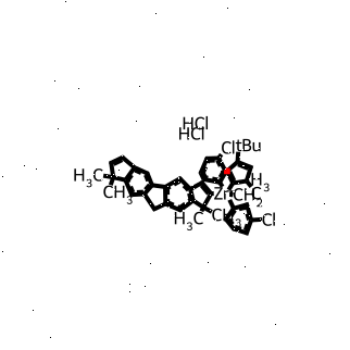 Cl.Cl.[CH2]=[Zr]([C]1=CC(C(C)(C)C)=CC1C)([C]1=Cc2cc3c(cc2C1(C)C)Cc1cc2c(cc1-3)C=CC2(C)C)([c]1cccc(Cl)c1)[c]1cccc(Cl)c1